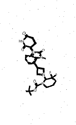 Cn1c(=O)n(C2CCC(=O)NC2=O)c2cccc(C3CN(C4N(C(=O)OC(C)(C)C)CCCC4(F)F)C3)c21